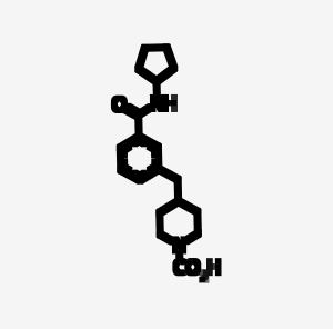 O=C(NC1CCCC1)c1cccc(CC2CCN(C(=O)O)CC2)c1